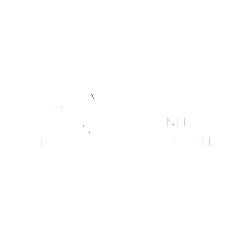 C[C@H](N[S+]([O-])C(C)(C)C)C1CC(NC(=O)O)C1